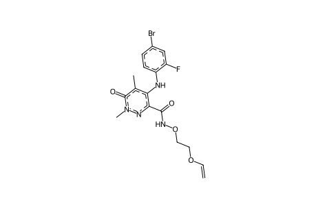 C=COCCONC(=O)c1nn(C)c(=O)c(C)c1Nc1ccc(Br)cc1F